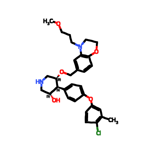 COCCCN1CCOc2ccc(CO[C@H]3CNC[C@@H](O)[C@@H]3c3ccc(Oc4ccc(Cl)c(C)c4)cc3)cc21